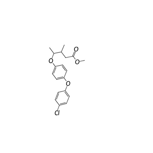 COC(=O)CC(C)C(C)Oc1ccc(Oc2ccc(Cl)cc2)cc1